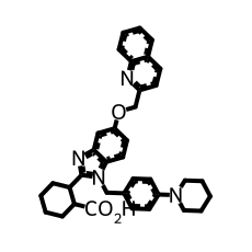 O=C(O)C1CCCCC1c1nc2cc(OCc3ccc4ccccc4n3)ccc2n1Cc1ccc(N2CCCCC2)cc1